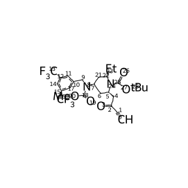 C#CC(=O)C[C@H]1C[C@@H](N(Cc2cc(C(F)(F)F)cc(C(F)(F)F)c2)C(=O)OC)C[C@@H](CC)N1C(=O)OC(C)(C)C